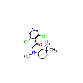 CN(CC(=O)c1c(Cl)cncc1Cl)C1CCCC(C)(C)C1